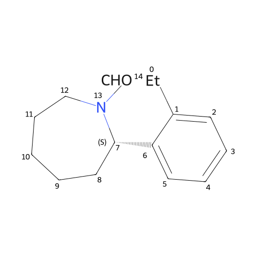 CCc1ccccc1[C@@H]1CCCCCN1C=O